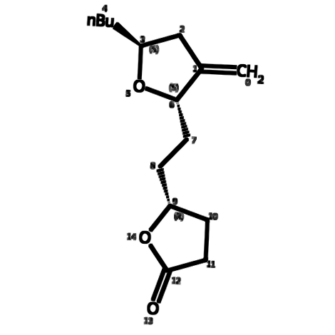 C=C1C[C@H](CCCC)O[C@H]1CC[C@@H]1CCC(=O)O1